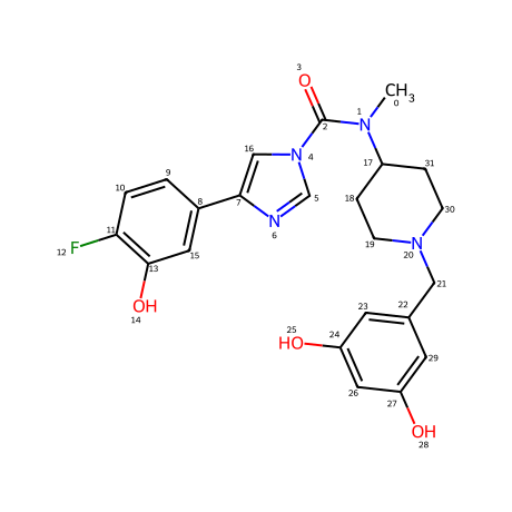 CN(C(=O)n1cnc(-c2ccc(F)c(O)c2)c1)C1CCN(Cc2cc(O)cc(O)c2)CC1